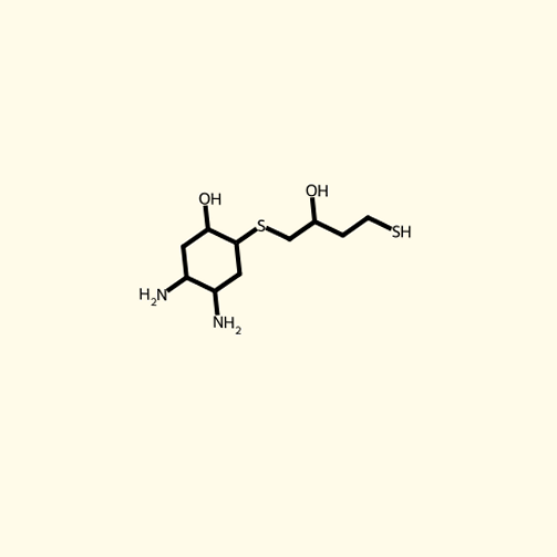 NC1CC(O)C(SCC(O)CCS)CC1N